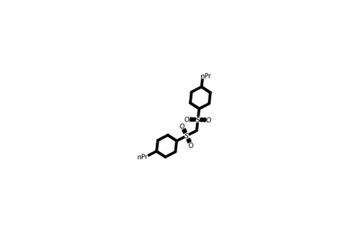 CCCC1CCC(S(=O)(=O)CS(=O)(=O)C2CCC(CCC)CC2)CC1